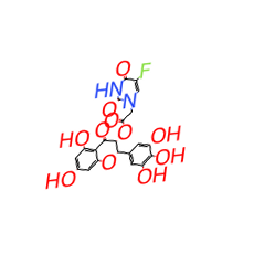 O=C(Cn1cc(F)c(=O)[nH]c1=O)OC1C(=O)c2c(O)cc(O)cc2OC1c1cc(O)c(O)c(O)c1